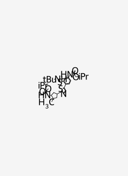 CC(C)OC(=O)Nc1ccc(-c2cnc(C3CC(C)C(NC(=O)OC(C)C)C3)s2)c(SNC(C)(C)C)c1